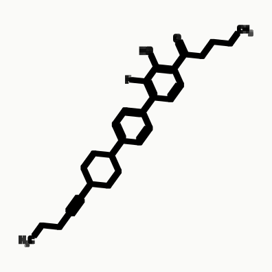 CCCC#CC1CCC(c2ccc(-c3ccc(C(=O)CCCC)c(O)c3F)cc2)CC1